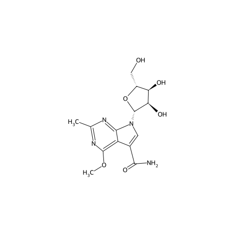 COc1nc(C)nc2c1c(C(N)=O)cn2[C@@H]1O[C@H](CO)[C@@H](O)[C@H]1O